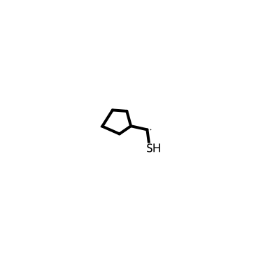 S[CH]C1CCCC1